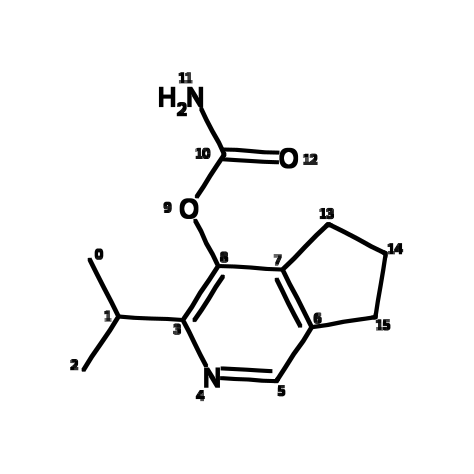 CC(C)c1ncc2c(c1OC(N)=O)CCC2